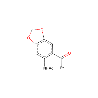 [CH2]CC(=O)c1cc2c(cc1NC(C)=O)OCO2